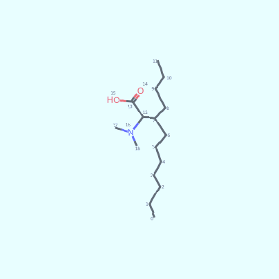 CCCCCCCC(CCCC)C(C(=O)O)N(C)C